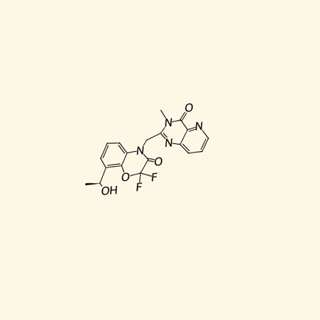 C[C@H](O)c1cccc2c1OC(F)(F)C(=O)N2Cc1nc2cccnc2c(=O)n1C